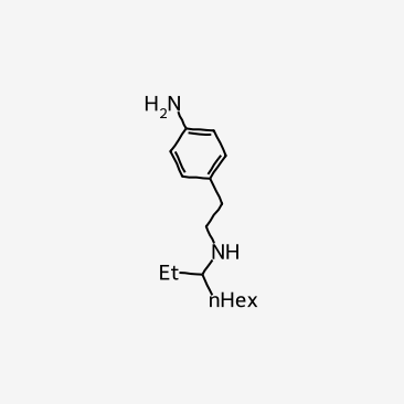 CCCCCCC(CC)NCCc1ccc(N)cc1